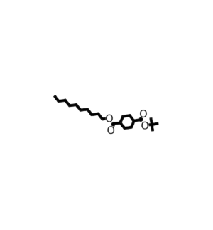 CCCCCCCCCCOC(=O)C1CCC(C(=O)OC(C)(C)C)CC1